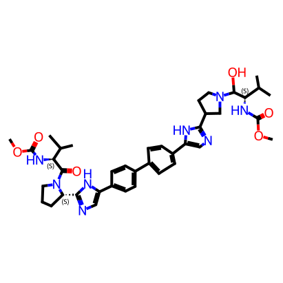 COC(=O)N[C@@H](C(C)C)C(O)N1CCC(c2ncc(-c3ccc(-c4ccc(-c5cnc([C@@H]6CCCN6C(=O)[C@@H](NC(=O)OC)C(C)C)[nH]5)cc4)cc3)[nH]2)C1